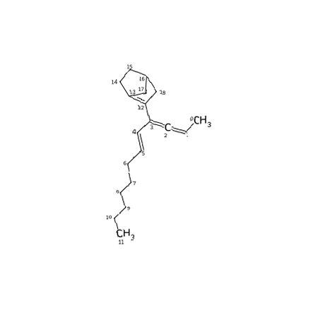 CC=C=C(C=CCCCCCC)C1=C2CCC(C2)C1